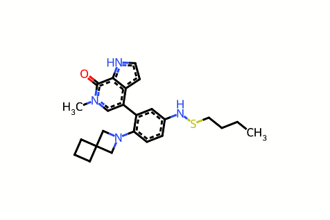 CCCCSNc1ccc(N2CC3(CCC3)C2)c(-c2cn(C)c(=O)c3[nH]ccc23)c1